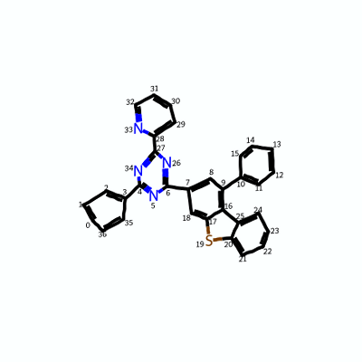 c1ccc(-c2nc(-c3cc(-c4ccccc4)c4c(c3)sc3ccccc34)nc(-c3ccccn3)n2)cc1